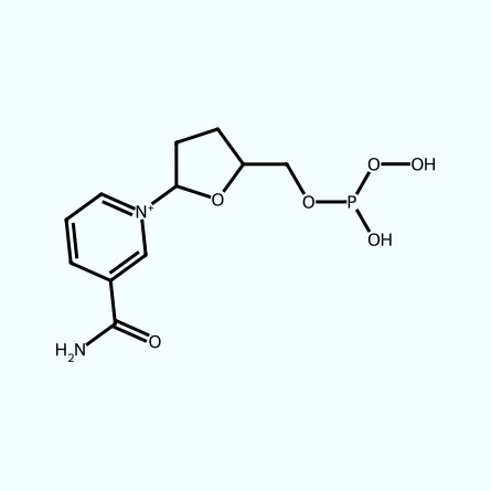 NC(=O)c1ccc[n+](C2CCC(COP(O)OO)O2)c1